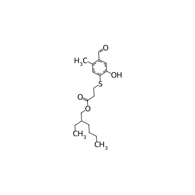 CCCCC(CC)COC(=O)CCSc1cc(C)c(C=O)cc1O